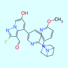 COc1ccc(CN2C3CC2CN(c2ccc(-c4cc(O)cn5nc(F)c(C=O)c45)cn2)C3)cn1